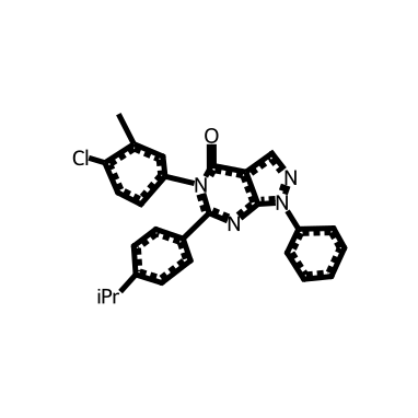 Cc1cc(-n2c(-c3ccc(C(C)C)cc3)nc3c(cnn3-c3ccccc3)c2=O)ccc1Cl